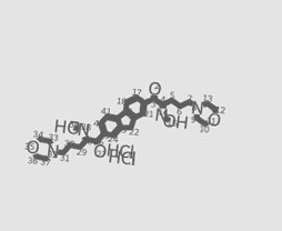 Cl.Cl.O=C(C(CCCN1CCOCC1)=NO)c1ccc2c(c1)Cc1cc(C(=O)C(CCCN3CCOCC3)=NO)ccc1-2